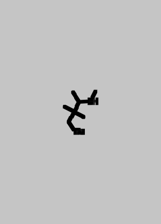 CBC(C)C(C)(C)CC(C)CC